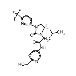 CC(C)C[C@H]1CN(c2ccc(C(F)(F)F)nc2)C(=O)N1CC(=O)Nc1ccc(CO)nc1